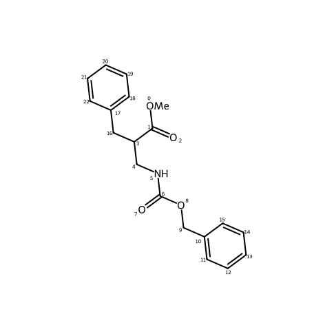 COC(=O)C(CNC(=O)OCc1ccccc1)Cc1ccccc1